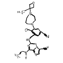 CCNc1nc(Nc2cc(C#N)cc(N3CCN(C4(C)COC4)CC3)c2Cl)nn2c(C#N)cnc12